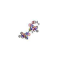 COCCN1C(=O)/C(=C/c2ncc(CCCCN3C(=O)/C(=C/c4nccs4)c4cc(S(=O)(=O)N(C)C(c5ccccc5)c5ccccc5)ccc43)s2)c2cc(S(=O)(=O)N(C)C(c3ccccc3)c3ccccc3)ccc21